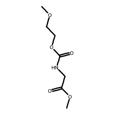 COCCOC(=O)NCC(=O)OC